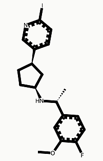 COc1cc([C@@H](C)N[C@H]2CC[C@@H](c3ccc(I)nc3)C2)ccc1F